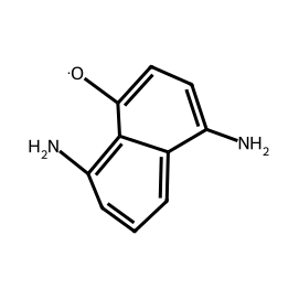 Nc1ccc([O])c2c(N)cccc12